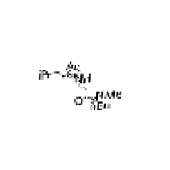 CCCC[C@H](NC)C(=O)CCN[C@@H](CCC(C)C)C(C)=O